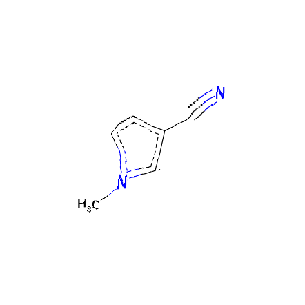 Cn1[c]c(C#N)cc1